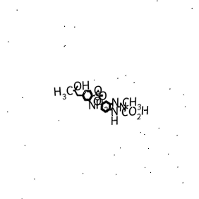 CC(O)Cc1ccc(S(=O)(=O)Oc2ccc3[nH]c(N(C)C(=O)O)nc3c2)c(N)c1